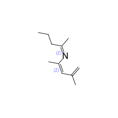 C=C(C)/C=C(C)\N=C(\C)CCC